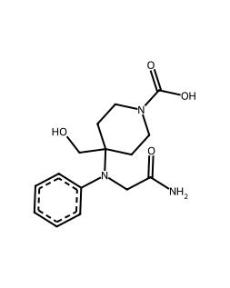 NC(=O)CN(c1ccccc1)C1(CO)CCN(C(=O)O)CC1